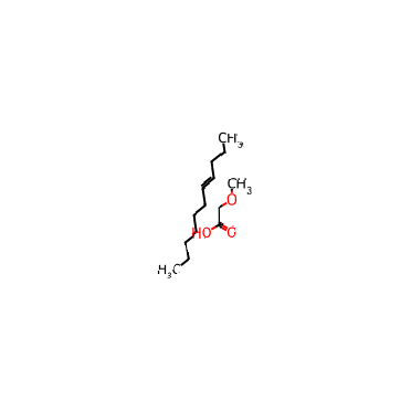 CCCC=CCCCCCC.COCC(=O)O